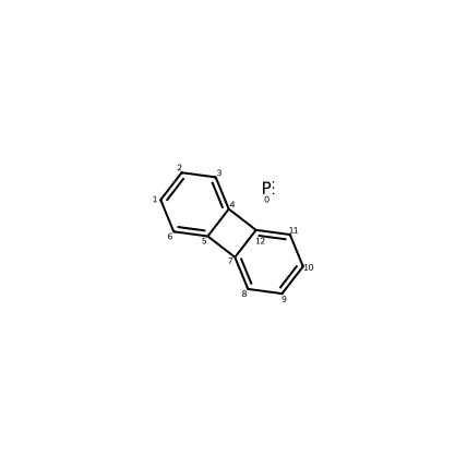 [P].c1ccc2c(c1)-c1ccccc1-2